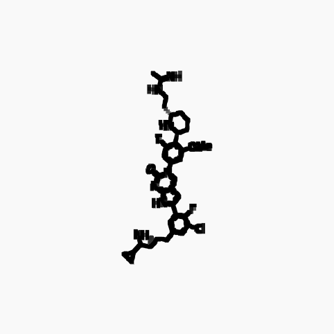 COc1cc(-n2cc3cc(-c4cc(CCCC(N)C5CC5)cc(Cl)c4F)[nH]c3nc2=O)cc(F)c1[C@@H]1CCC[C@@H](CCNC(C)=N)N1